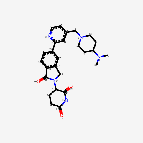 CN(C)C1CCN(Cc2ccnc(-c3ccc4c(c3)CN(C3CCC(=O)NC3=O)C4=O)c2)CC1